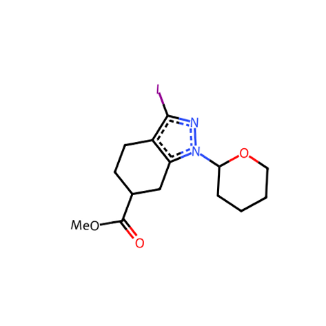 COC(=O)C1CCc2c(I)nn(C3CCCCO3)c2C1